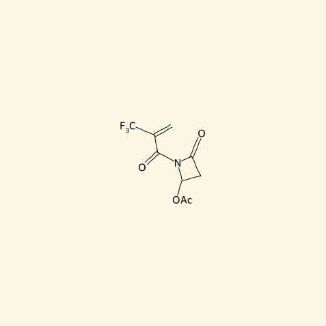 C=C(C(=O)N1C(=O)CC1OC(C)=O)C(F)(F)F